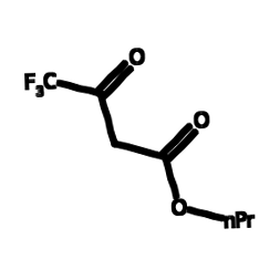 CCCOC(=O)CC(=O)C(F)(F)F